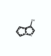 Oc1csn2cccc12